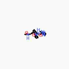 C=CC(=O)NCCC#Cc1cccc2cc([C@H](C)NC(=O)c3c(C)nn4cccnc34)n(-c3ccccc3)c(=O)c12